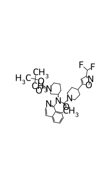 Cc1cccc2ccnc(N(C(=O)N3CCC(c4cc(C(F)F)no4)CC3)[C@@H]3CCCN(C(=O)OC(C)(C)C)C3)c12